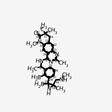 Bc1c([C@@H](C)Nc2nc(C)nc3cc4c(cc23)N(C)C(=O)C(C)(C)C4)cccc1C1(B)NC1(C)CNC